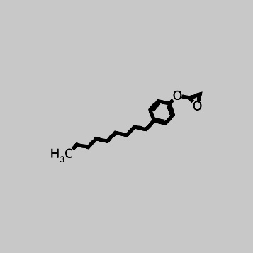 CCCCCCCCCc1ccc(OC2CO2)cc1